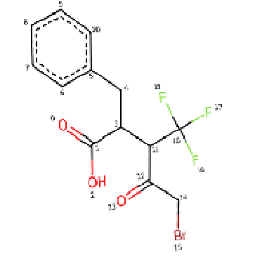 O=C(O)C(Cc1ccccc1)C(C(=O)CBr)C(F)(F)F